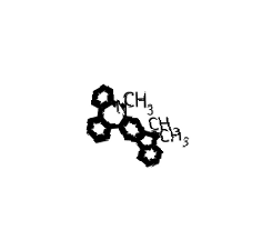 CN1c2ccccc2-c2ccccc2-c2cc3c(cc21)C(C)(C)c1ccccc1-3